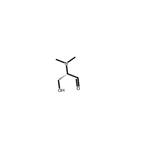 CN(C)[C@H](C=O)CO